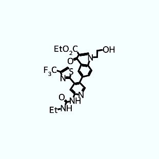 CCNC(=O)Nc1cc(-c2nc(C(F)(F)F)cs2)c(-c2ccc3c(c2)c(=O)c(C(=O)OCC)cn3CCO)cn1